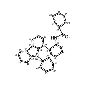 O=C(Nc1ccccc1-c1cccc2c3ccccc3n(-c3ccccc3)c12)c1ccccc1